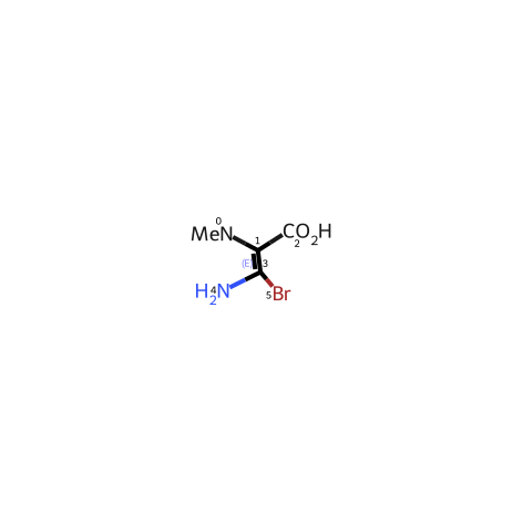 CN/C(C(=O)O)=C(\N)Br